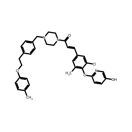 Cc1ccc(OCCc2ccc(CN3CCN(C(=O)C=Cc4cc(C)c(Oc5ccc(O)cn5)c(Cl)c4)CC3)cc2)cc1